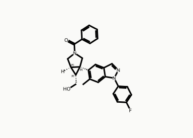 Cc1cc2c(cnn2-c2ccc(F)cc2)cc1[C@@]12CN(C(=O)c3ccccc3)C[C@@H]1[C@H]2CO